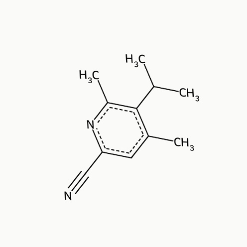 Cc1cc(C#N)nc(C)c1C(C)C